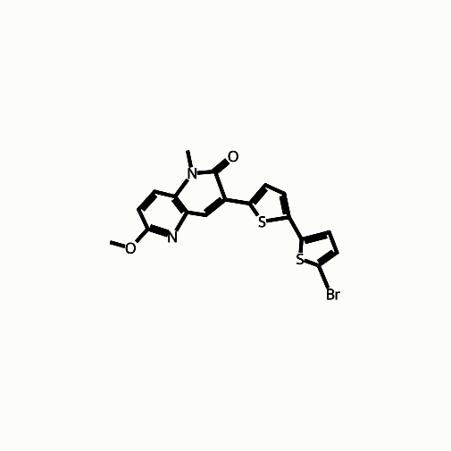 COc1ccc2c(cc(-c3ccc(-c4ccc(Br)s4)s3)c(=O)n2C)n1